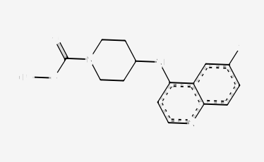 CC(C)(C)OC(=O)N1CCC(Nc2ccnc3ccc(Cl)cc23)CC1